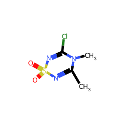 CC1=NS(=O)(=O)N=C(Cl)N1C